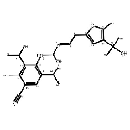 Cc1oc(C/C=N/C(O)Nc2c(C(C)C)cc(C#N)c(F)c2C(C)C)cc1C(C)(C)O